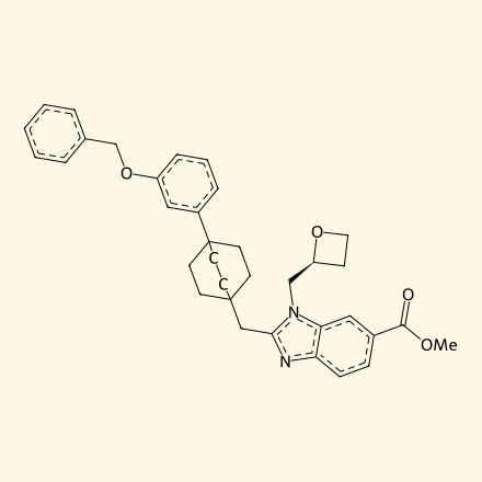 COC(=O)c1ccc2nc(CC34CCC(c5cccc(OCc6ccccc6)c5)(CC3)CC4)n(C[C@@H]3CCO3)c2c1